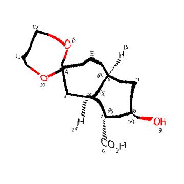 O=C(O)[C@@H]1[C@H]2CC3(C[C@H]2C[C@H]1O)OCCO3